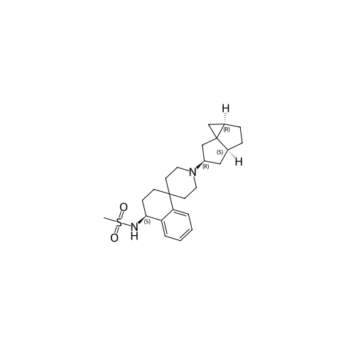 CS(=O)(=O)N[C@H]1CCC2(CCN([C@@H]3C[C@@H]4CC[C@@H]5CC54C3)CC2)c2ccccc21